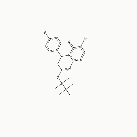 CC(C)(C)[Si](C)(C)OCCC(c1ccc(F)cc1)n1c(N)ncc(Br)c1=O